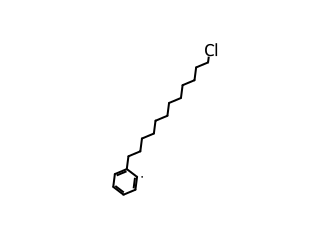 ClCCCCCCCCCCCCc1[c]cccc1